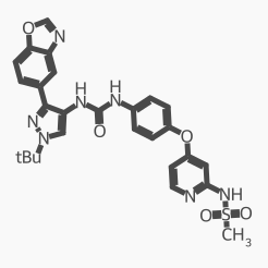 CC(C)(C)n1cc(NC(=O)Nc2ccc(Oc3ccnc(NS(C)(=O)=O)c3)cc2)c(-c2ccc3ocnc3c2)n1